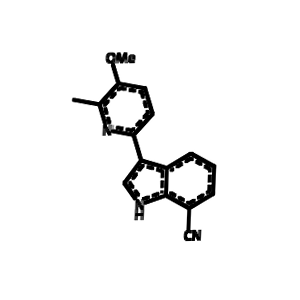 COc1ccc(-c2c[nH]c3c(C#N)cccc23)nc1C